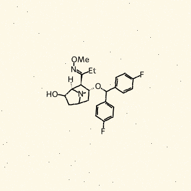 CCC(=NOC)[C@H]1[C@H](OC(c2ccc(F)cc2)c2ccc(F)cc2)CC2CC(O)[C@@H]1N2C